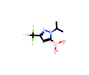 CC(C)n1nc(C(F)(F)F)cc1B(O)O